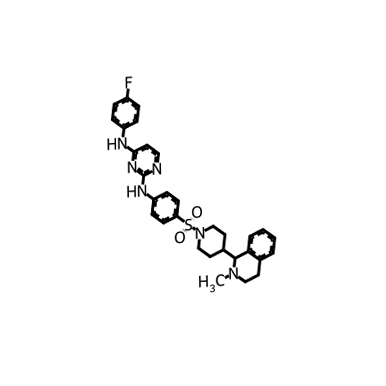 CN1CCc2ccccc2C1C1CCN(S(=O)(=O)c2ccc(Nc3nccc(Nc4ccc(F)cc4)n3)cc2)CC1